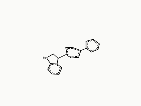 c1ccc(-c2ccc(C3CNc4ncccc43)cc2)cc1